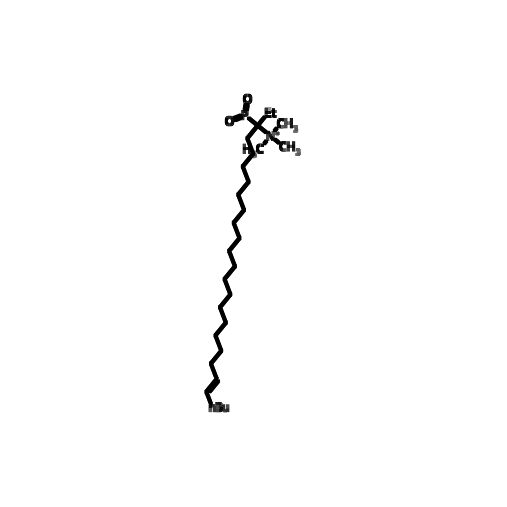 CCCCC=CCCCCCCCCCCCCCCCCCC(CC)(P(=O)=O)[N+](C)(C)C